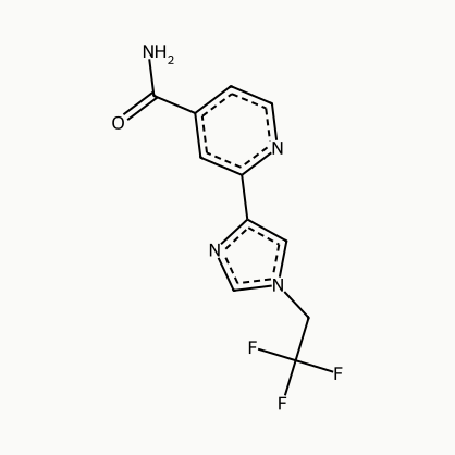 NC(=O)c1ccnc(-c2cn(CC(F)(F)F)cn2)c1